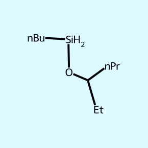 CCCC[SiH2]OC(CC)CCC